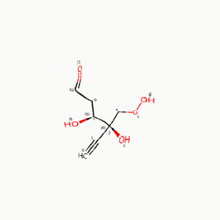 C#C[C@@](O)(COO)[C@@H](O)CC=O